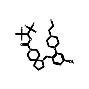 Cc1ccc(CN2CCCC23CCN(C(=O)OC(C(F)(F)F)C(F)(F)F)CC3)c(N2CCN(CCF)CC2)c1